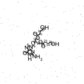 Nc1nc2c(ncn2COC(COC(=O)CCCO)COC(=O)CCCO)c(=O)[nH]1